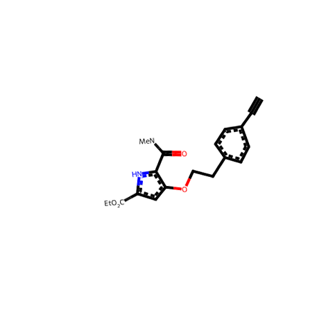 C#Cc1ccc(CCOc2cc(C(=O)OCC)[nH]c2C(=O)NC)cc1